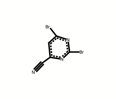 N#Cc1cc(Br)nc(Br)n1